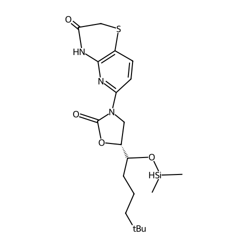 C[SiH](C)OC(CCCC(C)(C)C)[C@H]1CN(c2ccc3c(n2)NC(=O)CS3)C(=O)O1